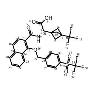 O=C(N[C@H](C(=O)O)C12CC(C(F)(F)F)(C1)C2)c1ccc2ccccc2c1OCc1ccc(S(=O)(=O)C(F)(F)F)cc1